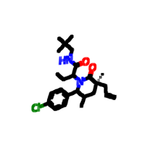 C=CC[C@@]1(C)CC(C)C(c2ccc(Cl)cc2)N(C(CC)C(=O)NCC(C)(C)C)C1=O